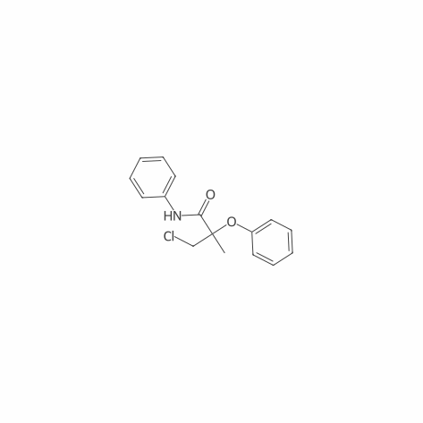 CC(CCl)(Oc1ccccc1)C(=O)Nc1ccccc1